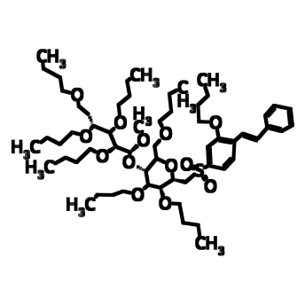 CCCCOCC[C@@H](OCCCC)C(OCCCC)[C@H](OCCCC)[C@@H](OC)O[C@@H]1C(COCCCC)O[C@@H](CS(=O)(=O)c2ccc(/C=C/c3ccccc3)c(OCCCC)c2)[C@@H](OCCCC)C1OCCCC